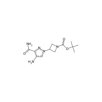 CC(C)(C)OC(=O)N1CC(n2cc(N)c(C(N)=O)n2)C1